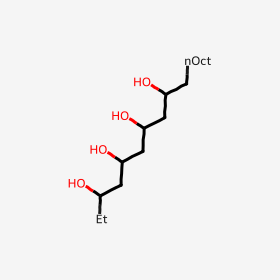 CCCCCCCCCC(O)CC(O)CC(O)CC(O)CC